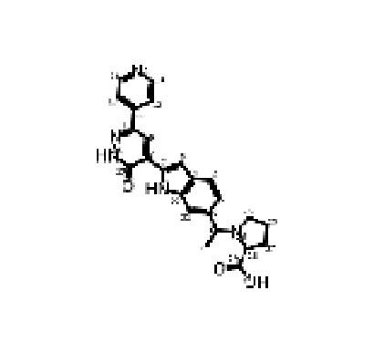 CC(c1ccc2cc(-c3cc(-c4ccncc4)n[nH]c3=O)[nH]c2c1)N1CCC[C@H]1C(=O)O